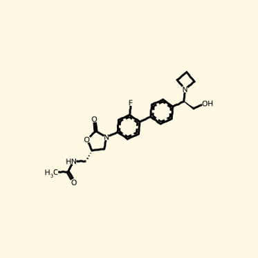 CC(=O)NC[C@H]1CN(c2ccc(-c3ccc([C@H](CO)N4CCC4)cc3)c(F)c2)C(=O)O1